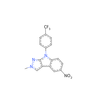 Cn1cc2c3cc([N+](=O)[O-])ccc3n(-c3ccc(C(F)(F)F)cc3)c2n1